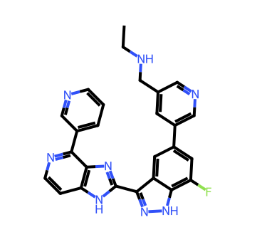 CCNCc1cncc(-c2cc(F)c3[nH]nc(-c4nc5c(-c6cccnc6)nccc5[nH]4)c3c2)c1